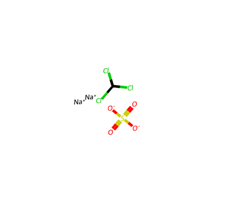 ClC(Cl)Cl.O=S(=O)([O-])[O-].[Na+].[Na+]